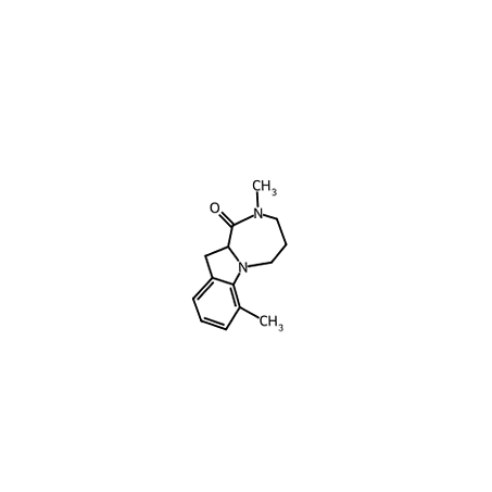 Cc1cccc2c1N1CCCN(C)C(=O)C1C2